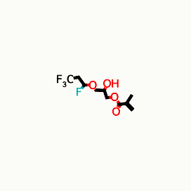 C=C(C)C(=O)OCC(O)COC(F)CC(F)(F)F